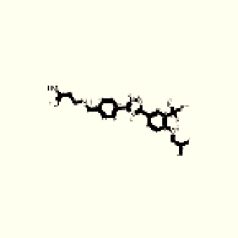 CC(C)COc1ccc(-c2nc(-c3ccc(CNCCC(=O)O)cc3)no2)cc1C(F)(F)F